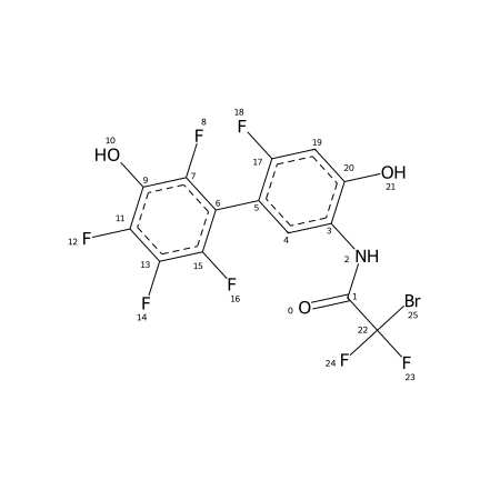 O=C(Nc1cc(-c2c(F)c(O)c(F)c(F)c2F)c(F)cc1O)C(F)(F)Br